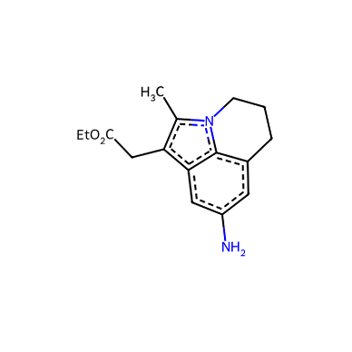 CCOC(=O)Cc1c(C)n2c3c(cc(N)cc13)CCC2